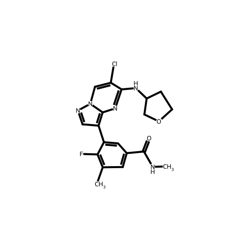 CNC(=O)c1cc(C)c(F)c(-c2cnn3cc(Cl)c(NC4CCOC4)nc23)c1